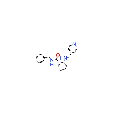 O=C(NCc1ccccc1)c1ccccc1NCc1ccncc1